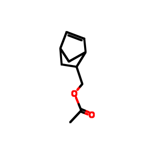 CC(=O)OCC1CC2C=CC1C2